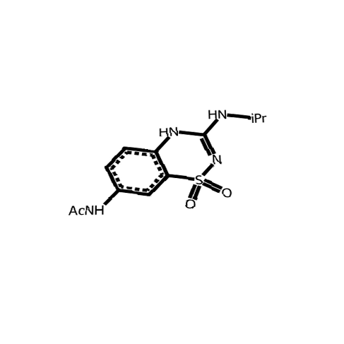 CC(=O)Nc1ccc2c(c1)S(=O)(=O)N=C(NC(C)C)N2